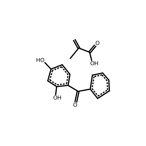 C=C(C)C(=O)O.O=C(c1ccccc1)c1ccc(O)cc1O